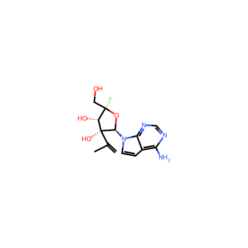 C=C(C)[C@]1(O)[C@H](n2ccc3c(N)ncnc32)O[C@](F)(CO)[C@H]1O